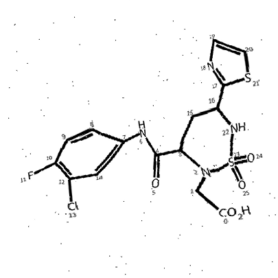 O=C(O)CN1C(C(=O)Nc2ccc(F)c(Cl)c2)CC(c2nccs2)NS1(=O)=O